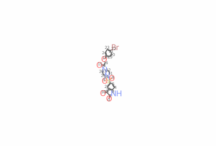 O=C1Nc2ccc(S(=O)(=O)N3CCN(C(=O)COc4ccc(Br)cc4)CC3)cc2C1=O